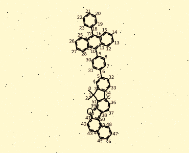 CC1(C)c2cc(-c3ccc(-c4c5ccccc5c(-c5ccccc5)c5ccccc45)cc3)ccc2-c2ccc3c(oc4ccc5ccccc5c43)c21